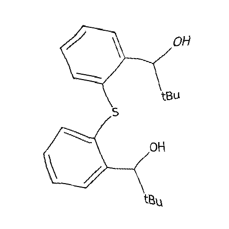 CC(C)(C)C(O)c1ccccc1Sc1ccccc1C(O)C(C)(C)C